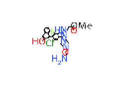 COC(=O)CCNc1nc(N2CCN(COCN)CC2)c2cc(Cl)c(-c3cc(O)cc4ccccc34)c(F)c2n1